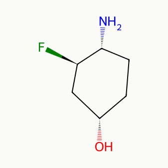 N[C@@H]1CC[C@H](O)C[C@H]1F